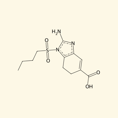 CCCCS(=O)(=O)n1c(N)nc2c1CCC(C(=O)O)=C2